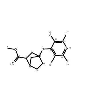 COC(=O)C1CC2(Oc3c(F)c(F)nc(F)c3F)CCC1C2